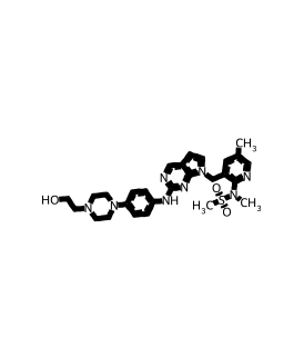 Cc1cnc(N(C)S(C)(=O)=O)c(Cn2ccc3cnc(Nc4ccc(N5CCN(CCO)CC5)cc4)nc32)c1